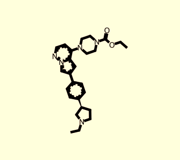 CCOC(=O)N1CCN(c2ccnn3cc(-c4ccc([C@H]5CCN(CC)C5)cc4)cc23)CC1